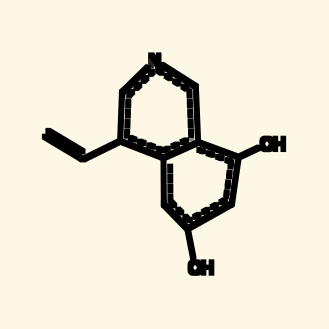 C=Cc1cncc2c(O)cc(O)cc12